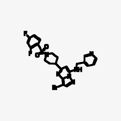 O=S(=O)(c1ccc(F)cc1F)N1CCC(c2cc(NCc3cccnc3)n3ncc(Br)c3n2)CC1